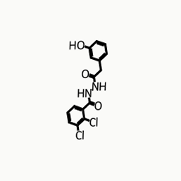 O=C(Cc1cccc(O)c1)NNC(=O)c1cccc(Cl)c1Cl